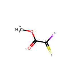 COC(=O)C(=S)I